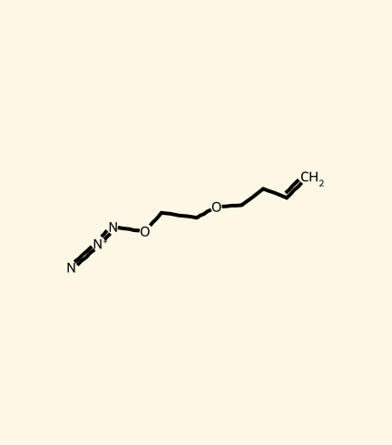 C=CCCOCCON=[N+]=[N-]